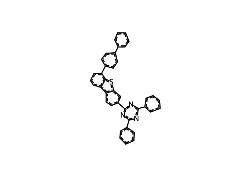 c1ccc(-c2ccc(-c3cccc4c3sc3cc(-c5nc(-c6ccccc6)nc(-c6ccccc6)n5)ccc34)cc2)cc1